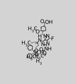 CCC[C@@H](CCO[Si](c1ccccc1)(c1ccccc1)C(C)(C)C)Nc1nc(NC(=O)OC)nc2c(F)nn(Cc3ccc(C(=O)O)cc3OC)c12